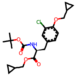 CC(C)(C)OC(=O)N[C@@H](Cc1ccc(OCC2CC2)c(Cl)c1)C(=O)OCC1CC1